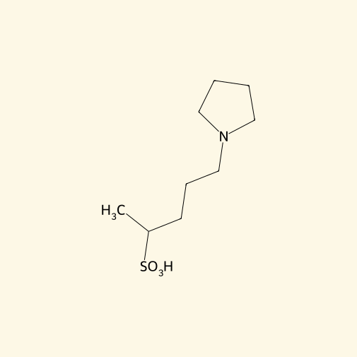 CC(CCCN1CCCC1)S(=O)(=O)O